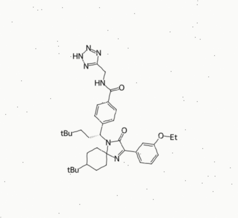 CCOc1cccc(C2=NC3(CCC(C(C)(C)C)CC3)N([C@H](CCC(C)(C)C)c3ccc(C(=O)NCc4nn[nH]n4)cc3)C2=O)c1